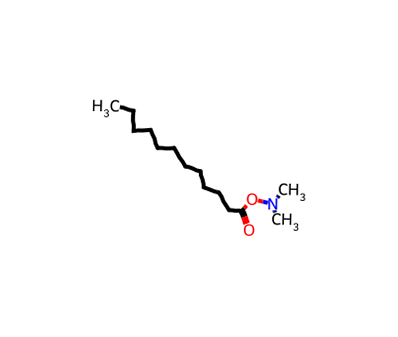 CCCCCCCCCCCC(=O)ON(C)C